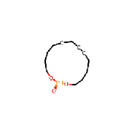 O=[PH]1OCCCCCCCCCCCCO1